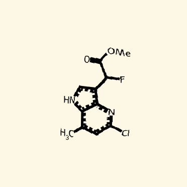 COC(=O)C(F)c1c[nH]c2c(C)cc(Cl)nc12